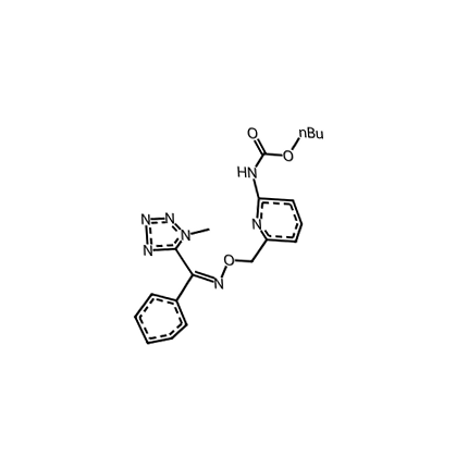 CCCCOC(=O)Nc1cccc(CON=C(c2ccccc2)c2nnnn2C)n1